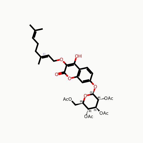 CC(=O)OC[C@H]1O[C@@H](Oc2ccc3c(O)c(OC/C=C(\C)CCC=C(C)C)c(=O)oc3c2)[C@H](OC(C)=O)[C@@H](OC(C)=O)[C@@H]1OC(C)=O